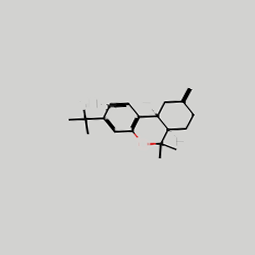 C=C1CC[C@@H]2[C@@H](C1)c1ccc(C(C)(C)CCCCCC)cc1OC2(C)C